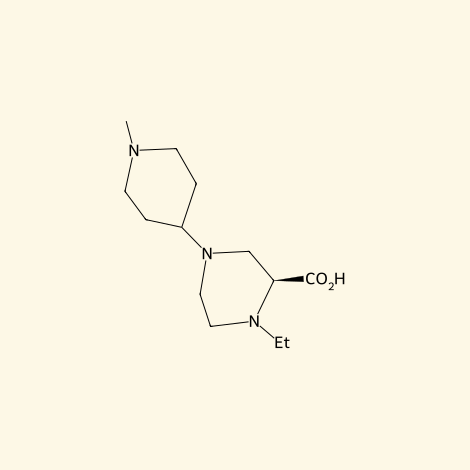 CCN1CCN(C2CCN(C)CC2)C[C@H]1C(=O)O